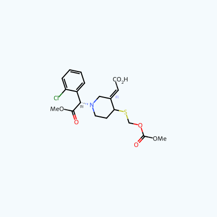 COC(=O)OCSC1CCN([C@H](C(=O)OC)c2ccccc2Cl)C/C1=C\C(=O)O